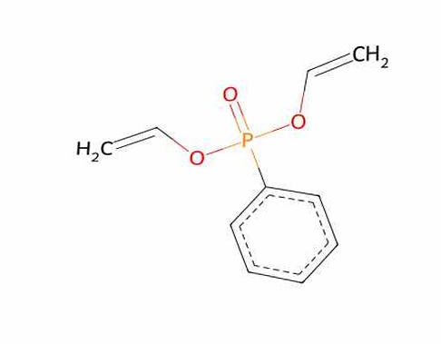 C=COP(=O)(OC=C)c1ccccc1